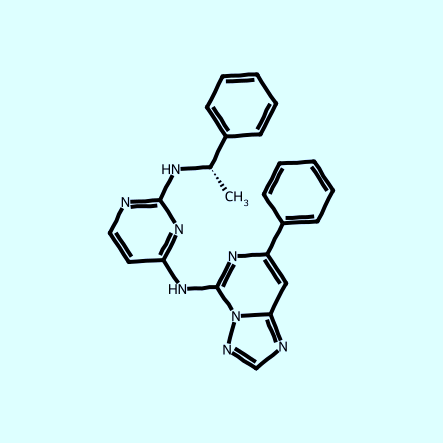 C[C@H](Nc1nccc(Nc2nc(-c3ccccc3)cc3ncnn23)n1)c1ccccc1